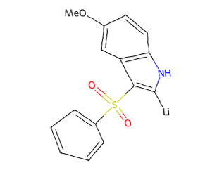 [Li][c]1[nH]c2ccc(OC)cc2c1S(=O)(=O)c1ccccc1